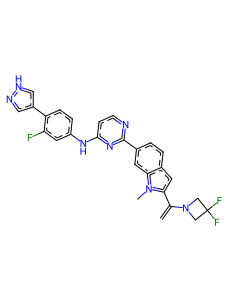 C=C(c1cc2ccc(-c3nccc(Nc4ccc(-c5cn[nH]c5)c(F)c4)n3)cc2n1C)N1CC(F)(F)C1